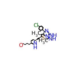 CC(=N)N1C(=N)CN=C(c2ccc(Cl)cc2)c2c1sc(C#CC1C=CC(CCCC=O)=CN1)c2C